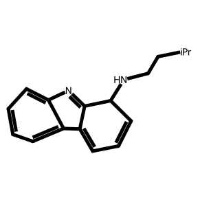 CC(C)CCNC1C=CC=C2C1=Nc1ccccc12